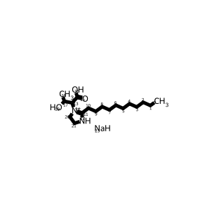 CCCCCCCCCCCC1=[N+](C(C(=O)O)C(C)O)CCN1.[NaH]